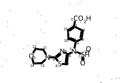 O=C(O)c1ccc(N(c2csc(N3CCOCC3)n2)[SH](=O)=O)cc1